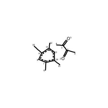 CC(=O)C(C)=O.Cc1cc(C)c(C)cc1C